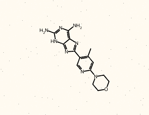 Cc1cc(N2CCOCC2)ncc1-c1nc2[nH]c(N)nc(N)c-2n1